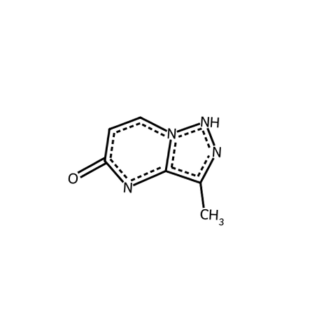 Cc1n[nH]n2ccc(=O)nc12